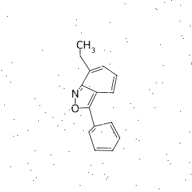 CCc1cccc2c(-c3ccccc3)onc12